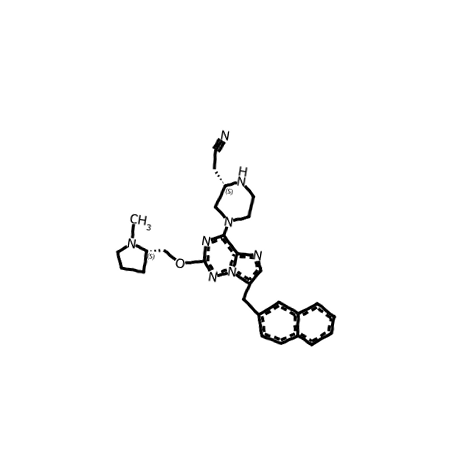 CN1CCC[C@H]1COc1nc(N2CCN[C@@H](CC#N)C2)c2ncc(Cc3ccc4ccccc4c3)n2n1